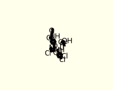 COCCNC(=O)c1ccc(Oc2ncc(Cl)cc2NS(=O)(=O)c2ccc(Cl)c(Cl)c2)cc1.O=C(O)C(F)(F)F